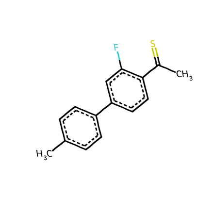 CC(=S)c1ccc(-c2ccc(C)cc2)cc1F